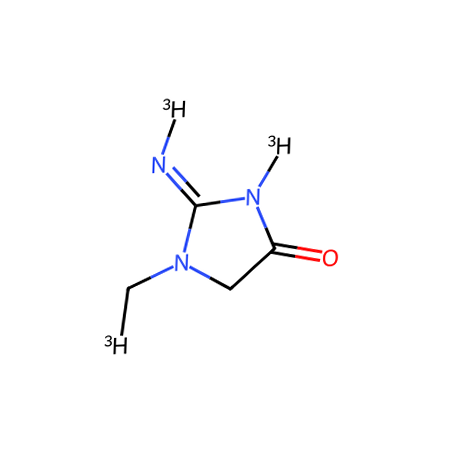 [3H]CN1CC(=O)N([3H])C1=N[3H]